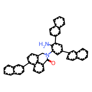 Nc1c(-c2ccc3ccccc3c2)cc(-c2ccc3ccccc3c2)cc1N1Cc2ccc(-c3ccc4ccccc4c3)c3cccc(c23)C1=O